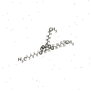 CCCCCCCCOC(=O)C=C(CC(=O)OCCCCCCCC)C(=O)OCCCCCCCC